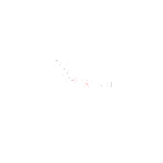 C/C=C/C=C/C(=O)OCCOC(=O)C(C)c1ccc(-c2ccccc2)c(F)c1